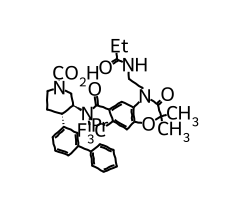 CCC(=O)NCCN1C(=O)C(C)(C)Oc2cc(C(F)(F)F)c(C(=O)N(C(C)C)[C@@H]3CN(C(=O)O)CC[C@H]3c3cccc(-c4ccccc4)c3)cc21